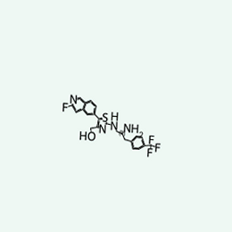 N[C@@H](CNc1nc(CO)c(-c2ccc3cnc(F)cc3c2)s1)Cc1ccc(C(F)(F)F)cc1